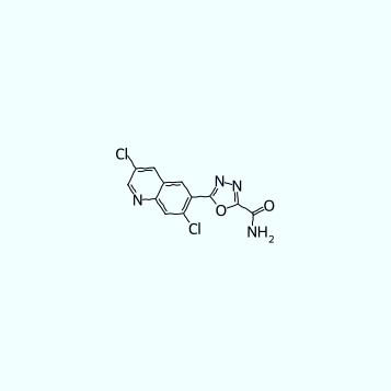 NC(=O)c1nnc(-c2cc3cc(Cl)cnc3cc2Cl)o1